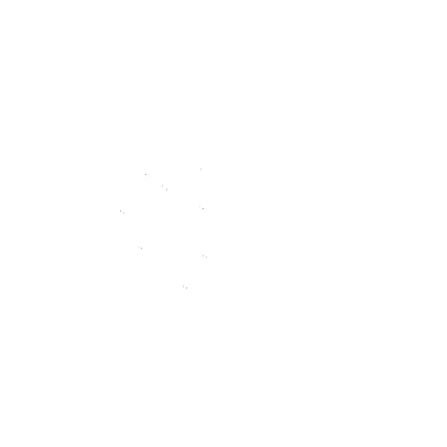 CC(=O)Oc1ccc(-n2c(-c3nc(C(F)(F)F)n4ncnc(N5CCCC5)c34)cnc2C)cc1C